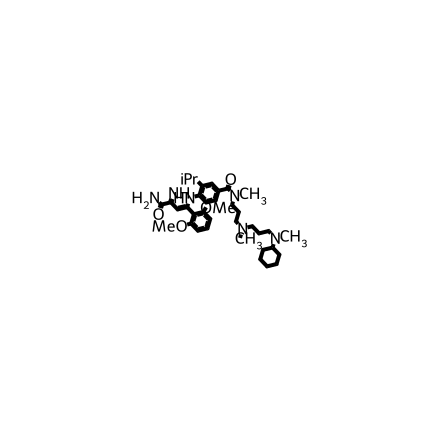 COc1cccc(OC)c1/C(=C/C(=N)C(N)=O)Nc1ccc(C(=O)N(C)CCCN(C)CCCN(C)C2CCCCC2)cc1C(C)C